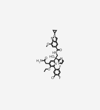 CCOc1c(CC(N)=O)cc([C@@](O)(CNC(=O)c2cc(OC)c3nn(C4CC4)cc3c2)c2nccs2)nc1-c1cc(Cl)c(F)cc1F